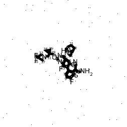 N#Cc1c(N)sc2c(F)ccc(-c3c(Cl)cc4c(N5CC6CCC(C5)N6)nc(OCC5(CN6CC(F)(F)C6)CC5)nc4c3F)c12